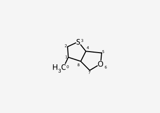 CC1CSC2COCC12